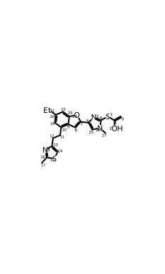 C=C(O)Sc1nc(-c2cc3c(CCc4csc(C)n4)cc(CC)cc3o2)cn1C